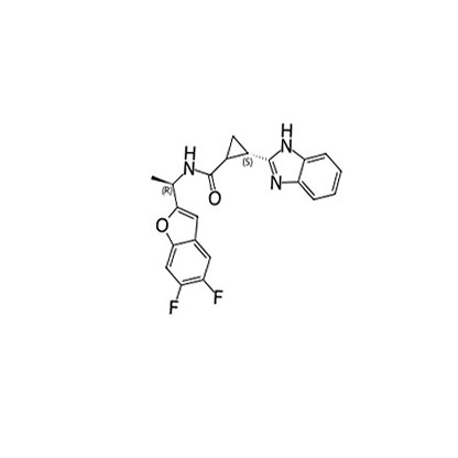 C[C@@H](NC(=O)C1C[C@@H]1c1nc2ccccc2[nH]1)c1cc2cc(F)c(F)cc2o1